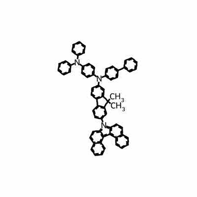 CC1(C)c2cc(N(c3ccc(-c4ccccc4)cc3)c3ccc(N(c4ccccc4)c4ccccc4)cc3)ccc2-c2ccc(-n3c4ccc5ccccc5c4c4c5ccccc5ccc43)cc21